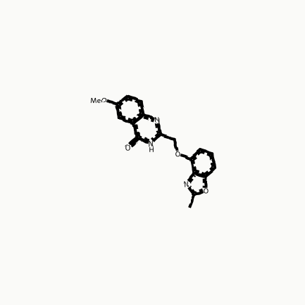 COc1ccc2nc(COc3cccc4oc(C)nc34)[nH]c(=O)c2c1